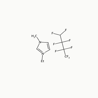 CC[n+]1ccn(C)c1.FC(F)C(F)(F)C(F)(F)C(F)(F)F